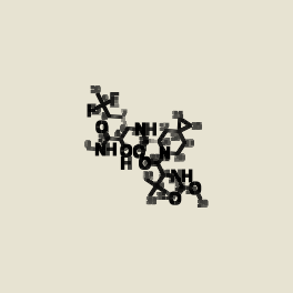 CNC(=O)C(O)[C@H](CCC(C)(F)F)NC(=O)[C@@H]1CC2(CCN1C(=O)[C@@H](NC(=O)OC)C(C)(C)C)CC2